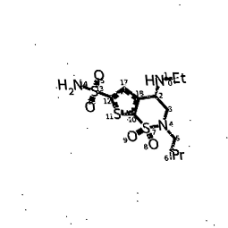 CCN[C@H]1CN(CC(C)C)S(=O)(=O)c2sc(S(N)(=O)=O)cc21